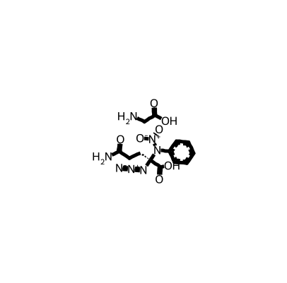 NCC(=O)O.[N-]=[N+]=N[C@](CCC(N)=O)(C(=O)O)N(c1ccccc1)[N+](=O)[O-]